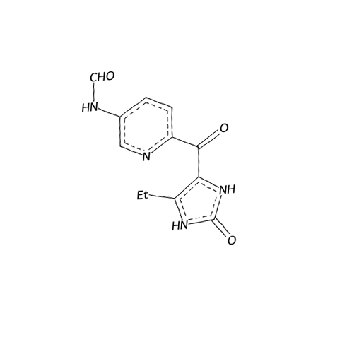 CCc1[nH]c(=O)[nH]c1C(=O)c1ccc(NC=O)cn1